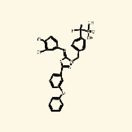 O=P(O)(O)C(F)(F)c1ccc(Cn2nc(-c3cccc(Oc4ccccc4)c3)s/c2=N\c2ccc(Cl)c(Cl)c2)cc1